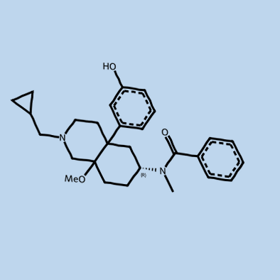 COC12CC[C@@H](N(C)C(=O)c3ccccc3)CC1(c1cccc(O)c1)CCN(CC1CC1)C2